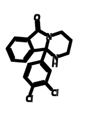 O=C1c2ccccc2C2(c3ccc(Cl)c(Cl)c3)NCCCN12